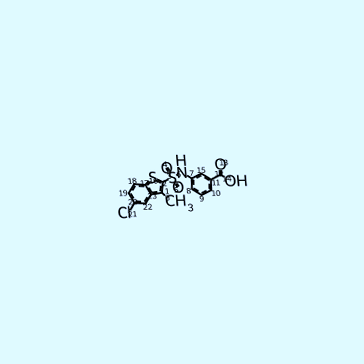 Cc1c(S(=O)(=O)Nc2cccc(C(=O)O)c2)sc2ccc(Cl)cc12